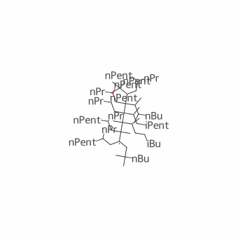 CCCCCC(CCC)C[C](CC(C)(C)CCCC)C(C)(CC(CCC)CCCCC)C(C)(C(C)CCC(C)CC)C(CC(CCC)CCCCC)(C(C)CC(C)CCC)C(CC(CCC)CCCCC)(C(C)C(C)CCCC)C(CC(CCC)CCCCC)C(C)(C)CCCCC